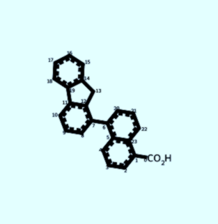 O=C(O)c1cccc2c(-c3cccc4c3Cc3ccccc3-4)cccc12